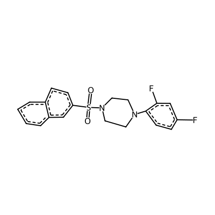 O=S(=O)(c1ccc2ccccc2c1)N1CCN(c2ccc(F)cc2F)CC1